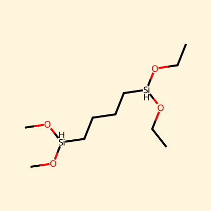 CCO[SiH](CCCC[SiH](OC)OC)OCC